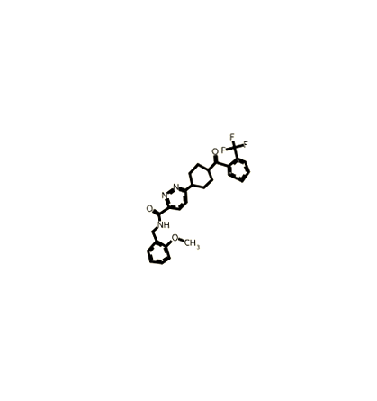 COc1ccccc1CNC(=O)c1ccc(C2CCC(C(=O)c3ccccc3C(F)(F)F)CC2)nn1